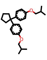 CC(C)COc1ccc(C2(c3ccc(OCC(C)C)cc3)CCCC2)cc1